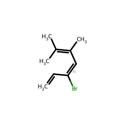 C=C/C(Br)=C\C(C)=C(C)C